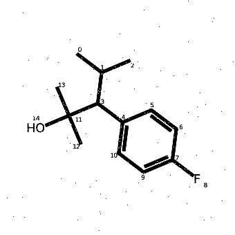 CC(C)C(c1ccc(F)cc1)C(C)(C)O